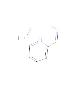 CI.O/N=C\c1ccccn1